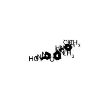 Cc1cccc(Nc2nc3cc(Oc4ccnc(C=NO)c4)ccc3n2C)c1C